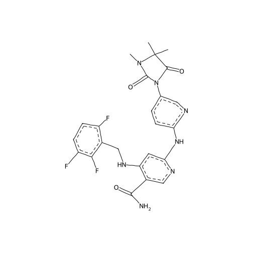 CN1C(=O)N(c2ccc(Nc3cc(NCc4c(F)ccc(F)c4F)c(C(N)=O)cn3)nc2)C(=O)C1(C)C